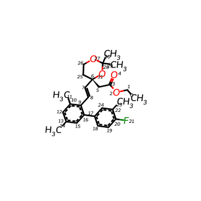 CCOC(=O)C[C@@]1(C=Cc2c(C)cc(C)cc2-c2ccc(F)c(C)c2)CCOC(C)(C)O1